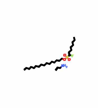 C=CCN.CCCCCCCCCCCCCCCCOS(=O)(=O)C(F)CCCCCCC